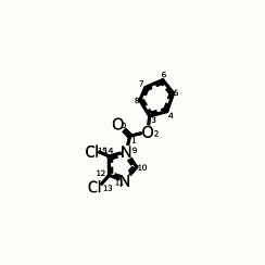 O=C(Oc1ccccc1)n1cnc(Cl)c1Cl